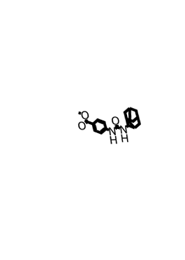 COC(=O)c1ccc(NC(=O)NC2C3CC4CC(C3)CC2C4)cc1